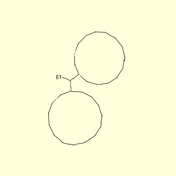 CCC(C1CCCCCCCCCCCCCC1)C1CCCCCCCCCCCCCC1